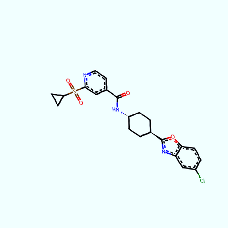 O=C(N[C@H]1CC[C@H](c2nc3cc(Cl)ccc3o2)CC1)c1ccnc(S(=O)(=O)C2CC2)c1